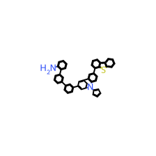 Nc1ccccc1-c1cccc(-c2cccc(C3=CC4CC(=C3)c3cc(-c5cccc6c5sc5ccccc56)ccc3N4C3=CC=C=C3)c2)c1